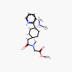 COC(=O)CN1C[C@]2(CC[C@@](c3ccccn3)(N(C)C)CC2)CC1=O